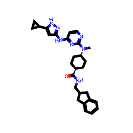 CN(c1nccc(Nc2cc(C3CC3)[nH]n2)n1)[C@H]1CC[C@H](C(=O)NCC2Cc3ccccc3C2)CC1